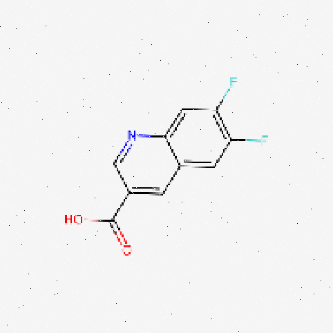 O=C(O)c1cnc2cc(F)c(F)cc2c1